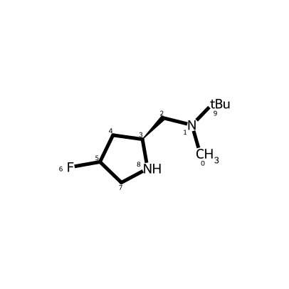 CN(C[C@@H]1CC(F)CN1)C(C)(C)C